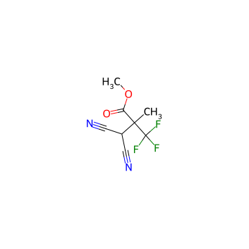 COC(=O)C(C)(C(C#N)C#N)C(F)(F)F